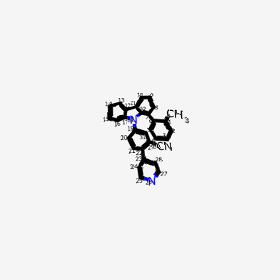 Cc1ccccc1-c1cccc2c3ccccc3n(-c3ccc(-c4ccncc4)c(C#N)c3)c12